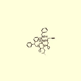 C#CCN1CC(=O)N2[C@@H](CC(C)C)C(=O)N(CC(c3ccccc3)c3ccccc3)C[C@@H]2N1C(=O)NCc1ccccc1